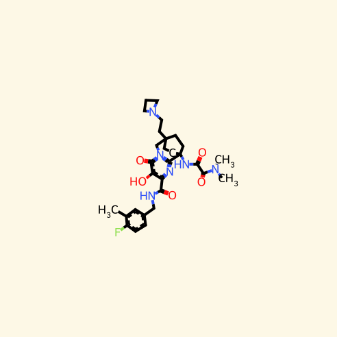 Cc1cc(CNC(=O)c2nc3n(c(=O)c2O)CC2(CCN4CCC4)CCC3(NC(=O)C(=O)N(C)C)CC2)ccc1F